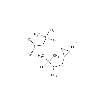 CC[N+](C)(C)C(C)CC1CO1.CC[N+](C)(C)CC(C)O.[Cl-].[Cl-]